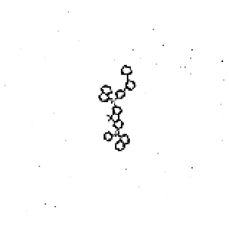 CC1(C)c2cc(N(c3ccccc3)c3cccc4ccccc34)ccc2-c2ccc(N(c3ccc(-c4cccc(-c5ccccc5)c4)cc3)c3cccc4ccccc34)cc21